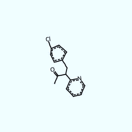 CC(=O)C(Cc1ccc(Cl)cc1)c1ccccn1